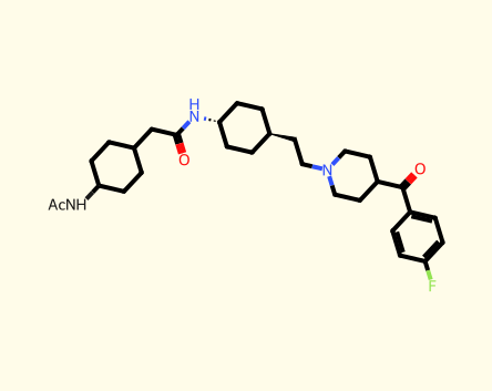 CC(=O)NC1CCC(CC(=O)N[C@H]2CC[C@H](CCN3CCC(C(=O)c4ccc(F)cc4)CC3)CC2)CC1